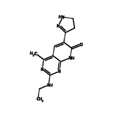 CCNc1nc(C)c2cc(C3=NNCC3)c(=O)[nH]c2n1